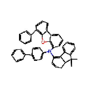 CC1(C)c2ccccc2C2=C(N(c3ccc(-c4ccccc4)cc3)c3cccc4c3oc3c(-c5ccccc5)cccc34)C=CCC21